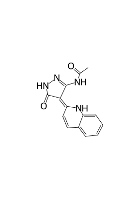 CC(=O)NC1=NNC(=O)C1=C1C=Cc2ccccc2N1